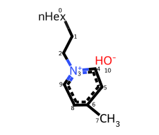 CCCCCCCC[n+]1ccc(C)cc1.[OH-]